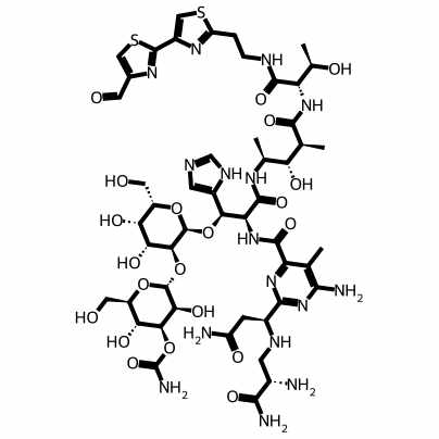 Cc1c(N)nc([C@H](CC(N)=O)NC[C@H](N)C(N)=O)nc1C(=O)N[C@H](C(=O)N[C@@H](C)[C@@H](O)[C@H](C)C(=O)N[C@H](C(=O)NCCc1nc(-c2nc(C=O)cs2)cs1)[C@@H](C)O)[C@@H](O[C@@H]1O[C@@H](CO)[C@@H](O)[C@@H](O)[C@@H]1O[C@H]1O[C@H](CO)[C@@H](O)[C@H](OC(N)=O)[C@@H]1O)c1cnc[nH]1